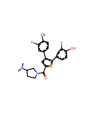 CN(C)C1CCN(C(=O)c2cc(-c3ccc(C#N)c(F)c3)c(-c3ccc(O)c(F)c3)s2)C1